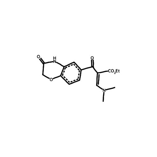 CCOC(=O)C(=CN(C)C)C(=O)c1ccc2c(c1)NC(=O)CO2